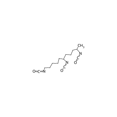 CC(CCCC(CCCCCN=C=O)N=C=O)N=C=O